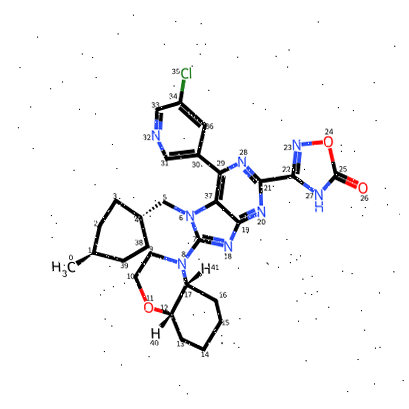 C[C@H]1CC[C@H](Cn2c(N3CCO[C@H]4CCCC[C@H]43)nc3nc(-c4noc(=O)[nH]4)nc(-c4cncc(Cl)c4)c32)CC1